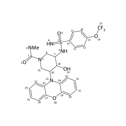 CNC(=O)N1CC(NS(=N)(=O)c2ccc(OC(F)(F)F)cc2)C(O)C(N2c3ccccc3Oc3ccccc32)C1